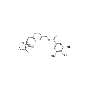 CC(C)(C)c1cc(C(=O)OCc2ccc(C=C3C(=O)C4(C)CCC3C4(C)C)cc2)cc(C(C)(C)C)c1O